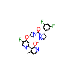 COc1nccc(C)c1-c1cc(OC2CN(C(=O)N3N=CC[C@H]3c3cc(F)cc(F)c3)C2)c(F)cn1